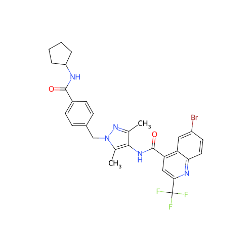 Cc1nn(Cc2ccc(C(=O)NC3CCCC3)cc2)c(C)c1NC(=O)c1cc(C(F)(F)F)nc2ccc(Br)cc12